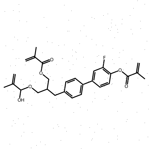 C=C(C)C(=O)OCC(COC(O)C(=C)C)Cc1ccc(-c2ccc(OC(=O)C(=C)C)c(F)c2)cc1